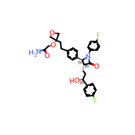 NC(=O)COC1(CCc2ccc([C@@H]3[C@@H](CC[C@H](O)c4ccc(F)cc4)C(=O)N3c3ccc(F)cc3)cc2)COC1